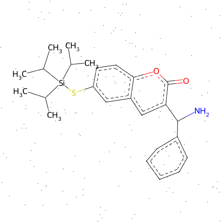 CC(C)[Si](Sc1ccc2oc(=O)c(C(N)c3ccccc3)cc2c1)(C(C)C)C(C)C